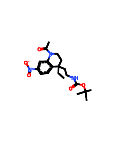 CCC1(CCNC(=O)OC(C)(C)C)CCN(C(C)=O)c2cc([N+](=O)[O-])ccc21